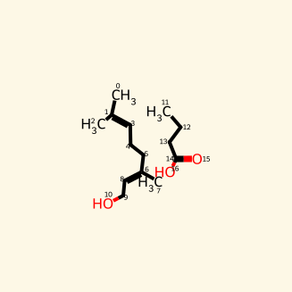 CC(C)=CCCC(C)=CCO.CCCC(=O)O